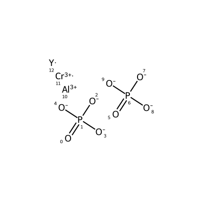 O=P([O-])([O-])[O-].O=P([O-])([O-])[O-].[Al+3].[Cr+3].[Y]